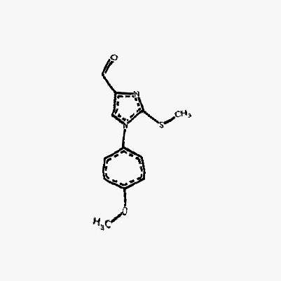 COc1ccc(-n2cc(C=O)nc2SC)cc1